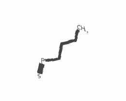 CCCCP=S